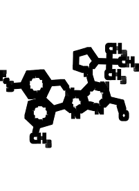 Cc1cccc(-c2nc3nc(C=O)nc(N4CCCC4C(C)(C)C)c3n2Cc2ccc(SF)cc2)c1